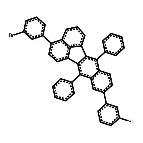 Brc1cccc(-c2ccc3c(-c4ccccc4)c4c(c(-c5ccccc5)c3c2)-c2ccc(-c3cccc(Br)c3)c3cccc-4c23)c1